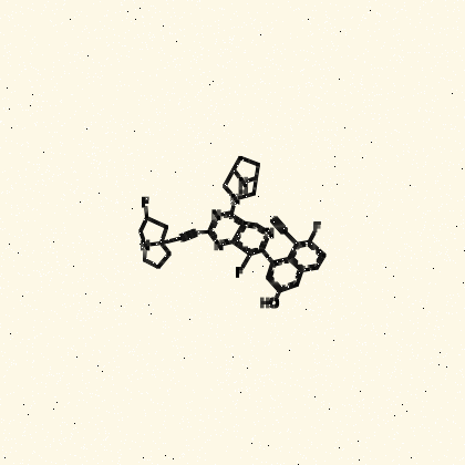 C#Cc1c(F)ccc2cc(O)cc(-c3ncc4c(N5CC6CCC(C5)N6)nc(C#CC56CCCN5CC(F)C6)nc4c3F)c12